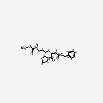 CC(C)(C)OC(=O)NCCCC[C@H](NC(=O)OCc1ccccc1)C(=O)N1CCSC1